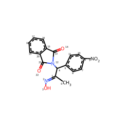 CC(=NO)C(c1ccc([N+](=O)[O-])cc1)N1C(=O)c2ccccc2C1=O